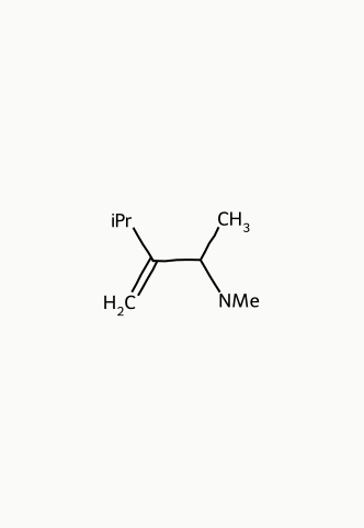 C=C(C(C)C)C(C)NC